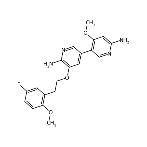 COc1ccc(F)cc1CCOc1cc(-c2cnc(N)cc2OC)cnc1N